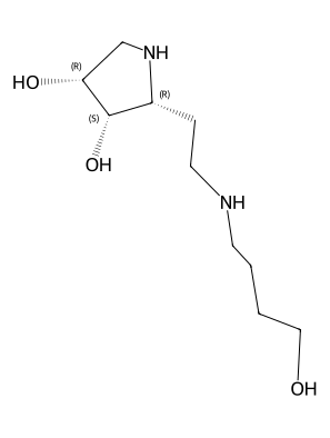 OCCCCNCC[C@H]1NC[C@@H](O)[C@H]1O